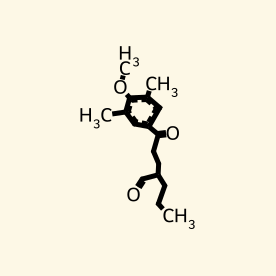 CCCC(C=O)CCC(=O)c1cc(C)c(OC)c(C)c1